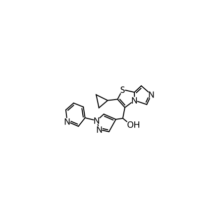 OC(c1cnn(-c2cccnc2)c1)c1c(C2CC2)sc2cncn12